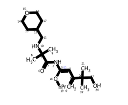 C=C(/C=C(/NC(=O)C(C)(C)NCC1CCOCC1)OCCC)C(C)(C)CO